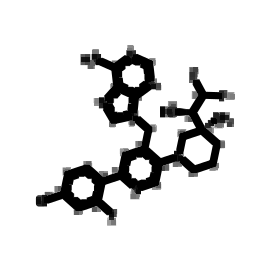 Nc1ncnc2c1ncn2Cc1cc(-c2ccc(Cl)cc2F)ncc1N1CCC[C@](N)([C@@H](O)C(F)F)C1